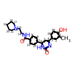 Cc1cc(-c2cc(-c3ccc(C(=O)NCCN4CCCCC4)cc3)[nH]c(=O)n2)ccc1O